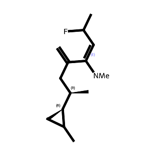 C=C(C[C@@H](C)[C@@H]1CC1C)/C(=C\C(C)F)NC